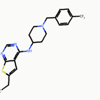 FC(F)(F)Cc1cc2c(NC3CCN(Cc4ccc(C(F)(F)F)cc4)CC3)ncnc2s1